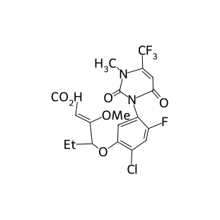 CCC(Oc1cc(-n2c(=O)cc(C(F)(F)F)n(C)c2=O)c(F)cc1Cl)/C(=C/C(=O)O)OC